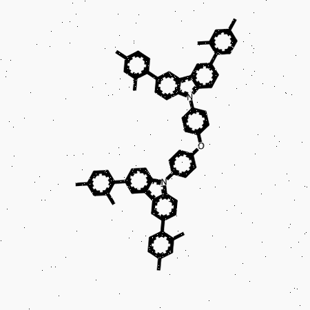 Cc1ccc(-c2ccc3c(c2)c2cc(-c4ccc(C)cc4C)ccc2n3-c2ccc(Oc3ccc(-n4c5ccc(-c6ccc(C)cc6C)cc5c5cc(-c6ccc(C)cc6C)ccc54)cc3)cc2)c(C)c1